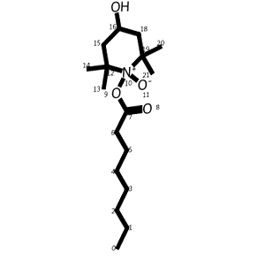 CCCCCCCC(=O)O[N+]1([O-])C(C)(C)CC(O)CC1(C)C